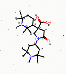 CN1C(C)(C)CC(N2CC(C(=O)O)(C3CCC(C)(C)N(C)C3(C)C)CC2=O)CC1(C)C